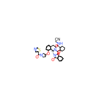 N#CCNC(=O)[C@H]1CCCC[C@H]1C(=O)N1CCc2cccc(O[C@H]3CCN(C(=O)c4cncs4)C3)c2[C@H]1CN1C(=O)c2ccccc2C1=O